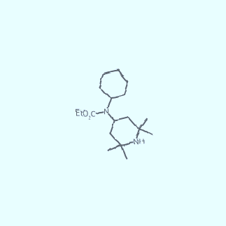 CCOC(=O)N(C1CCCCC1)C1CC(C)(C)NC(C)(C)C1